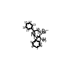 C[n+]1c2n(c3ccccc31)N=C(c1ccccc1)CS2.[Br-]